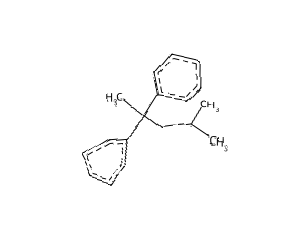 C[C](C)CC(C)(c1ccccc1)c1ccccc1